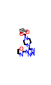 CC(C)(C)OC(=O)N1CCN(c2nnnn2-c2ncco2)CC1